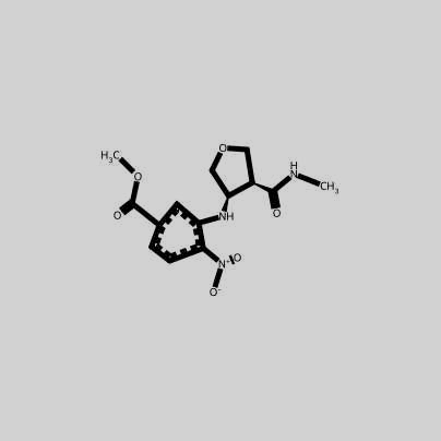 CNC(=O)[C@@H]1COC[C@@H]1Nc1cc(C(=O)OC)ccc1[N+](=O)[O-]